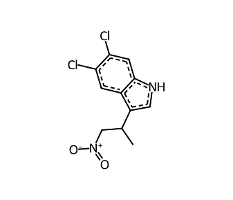 CC(C[N+](=O)[O-])c1c[nH]c2cc(Cl)c(Cl)cc12